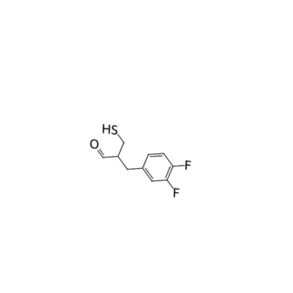 O=CC(CS)Cc1ccc(F)c(F)c1